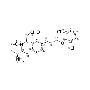 NC1CCCN(CCC=O)C1Cc1ccc(OCCOc2c(Cl)cccc2Cl)cc1